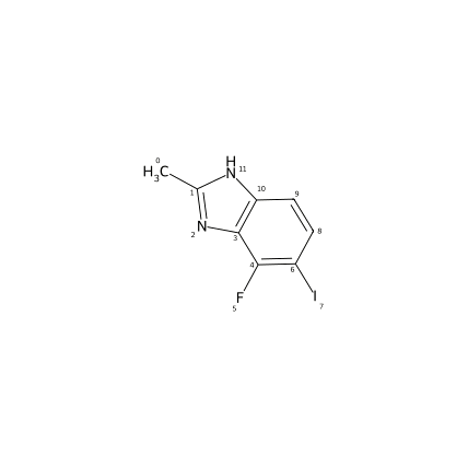 Cc1nc2c(F)c(I)ccc2[nH]1